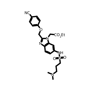 CCOC(=O)Cn1c(COc2ccc(C#N)cc2)nc2ccc(NS(=O)(=O)CCCN(C)C)cc21